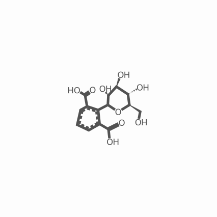 O=C(O)c1cccc(C(=O)O)c1C1O[C@H](CO)[C@@H](O)[C@H](O)[C@H]1O